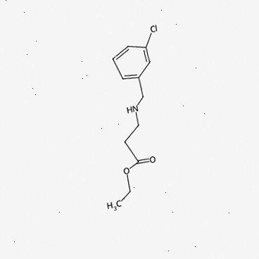 CCOC(=O)CCNCc1cccc(Cl)c1